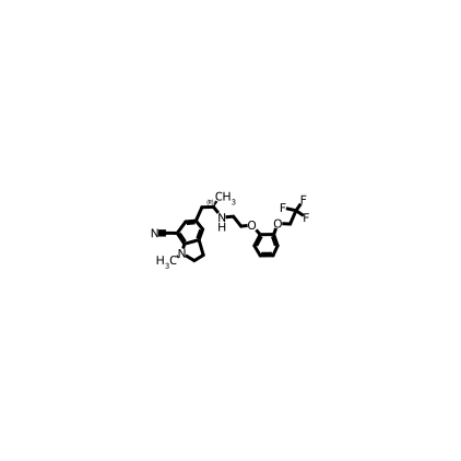 C[C@H](Cc1cc(C#N)c2c(c1)CCN2C)NCCOc1ccccc1OCC(F)(F)F